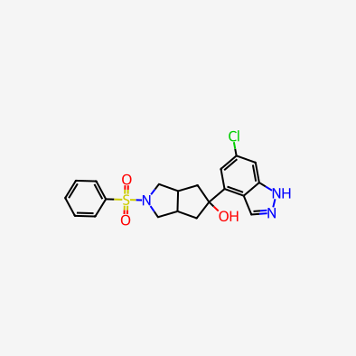 O=S(=O)(c1ccccc1)N1CC2CC(O)(c3cc(Cl)cc4[nH]ncc34)CC2C1